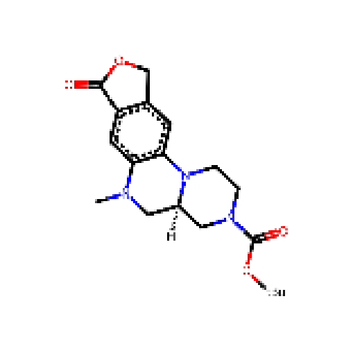 CN1C[C@@H]2CN(C(=O)OC(C)(C)C)CCN2c2cc3c(cc21)C(=O)OC3